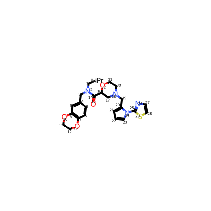 CC(C)CN(Cc1ccc2c(c1)OCCO2)C(=O)C1CN(Cc2cccn2-c2nccs2)CCO1